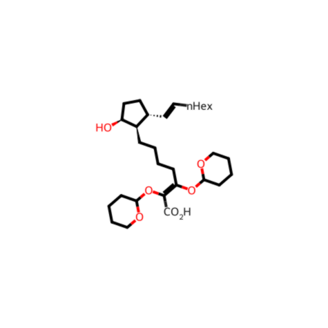 CCCCCC/C=C/[C@H]1CC[C@H](O)[C@@H]1CCCC/C(OC1CCCCO1)=C(\OC1CCCCO1)C(=O)O